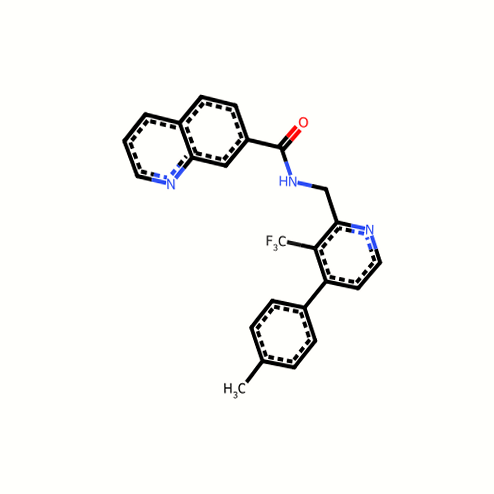 Cc1ccc(-c2ccnc(CNC(=O)c3ccc4cccnc4c3)c2C(F)(F)F)cc1